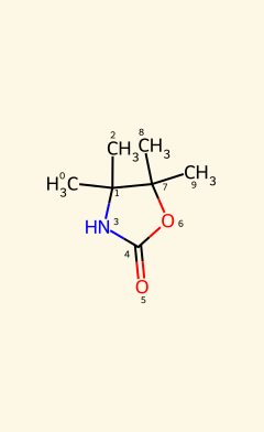 CC1(C)NC(=O)OC1(C)C